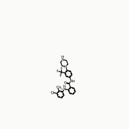 Cc1c(Cl)cccc1Nc1ccccc1C(=O)Nc1ccc(N2CCNCC2)c(C(F)(F)F)c1